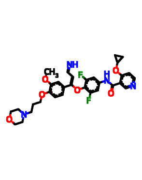 COc1cc(/C(=C\C=N)Oc2c(F)cc(NC(=O)c3cnccc3OC3CC3)cc2F)ccc1OCCCN1CCOCC1